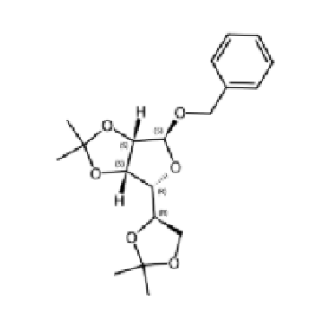 CC1(C)O[C@@H]2[C@H](O1)[C@@H](OCc1ccccc1)O[C@@H]2[C@H]1COC(C)(C)O1